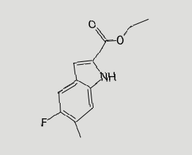 CCOC(=O)c1cc2cc(F)c(C)cc2[nH]1